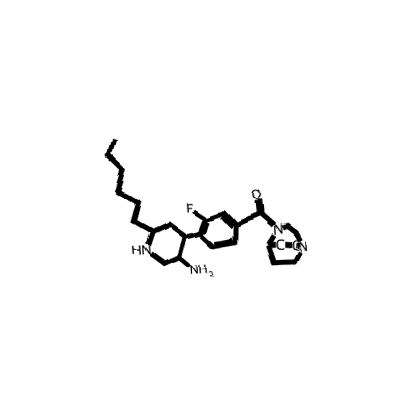 CCCCCCC1CC(c2ccc(C(=O)N3CCN4CCC3CC4)cc2F)C(N)CN1